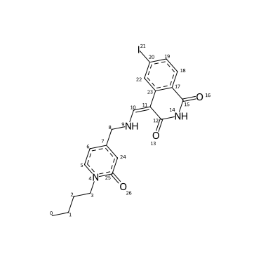 CCCCn1ccc(CNC=C2C(=O)NC(=O)c3ccc(I)cc32)cc1=O